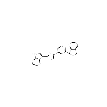 O[C@]1(c2cccc(-c3csc(-c4c[nH]c5ncccc45)n3)c2)CCc2cccnc21